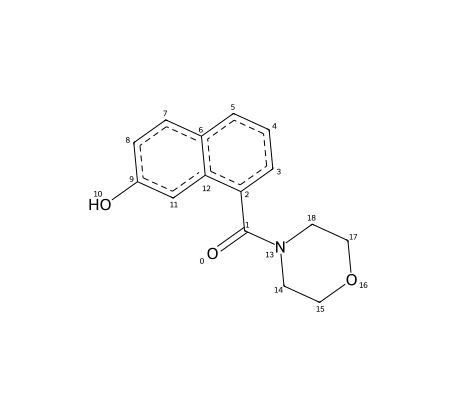 O=C(c1cccc2ccc(O)cc12)N1CCOCC1